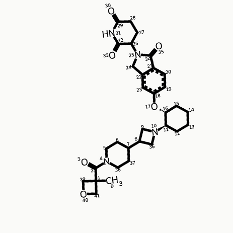 CC1(C(=O)N2CCC(C3CN([C@@H]4CCCC[C@H]4Oc4ccc5c(c4)CN(C4CCC(=O)NC4=O)C5=O)C3)CC2)COC1